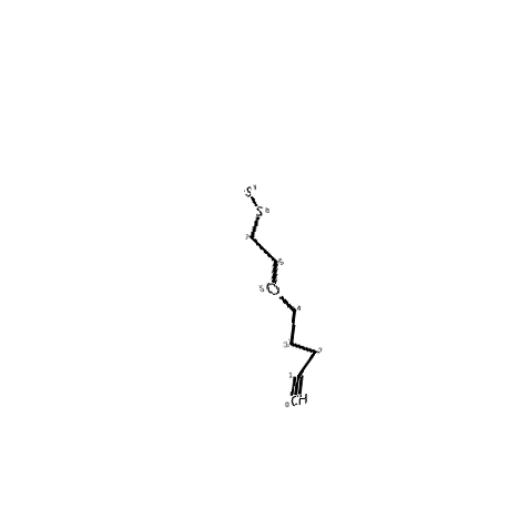 C#CCCCOCCS[S]